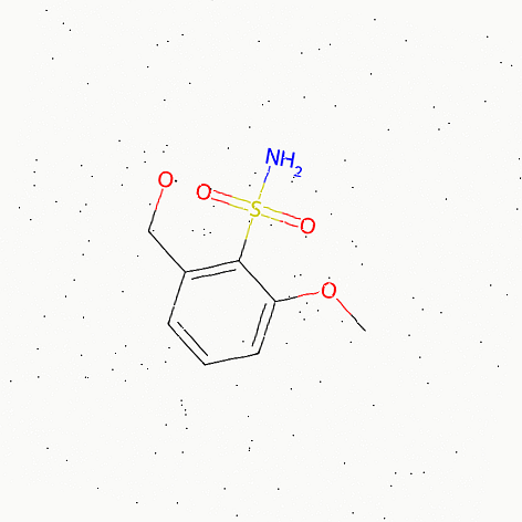 COc1cccc(C[O])c1S(N)(=O)=O